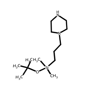 CC(C)(C)O[Si](C)(C)CCCN1CCNCC1